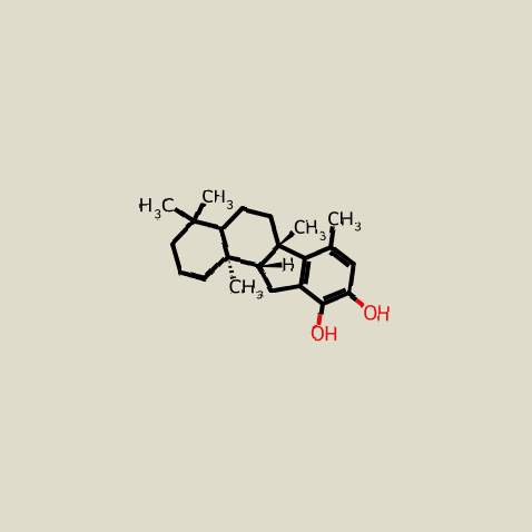 Cc1cc(O)c(O)c2c1[C@@]1(C)CCC3C(C)(C)CCC[C@]3(C)[C@H]1C2